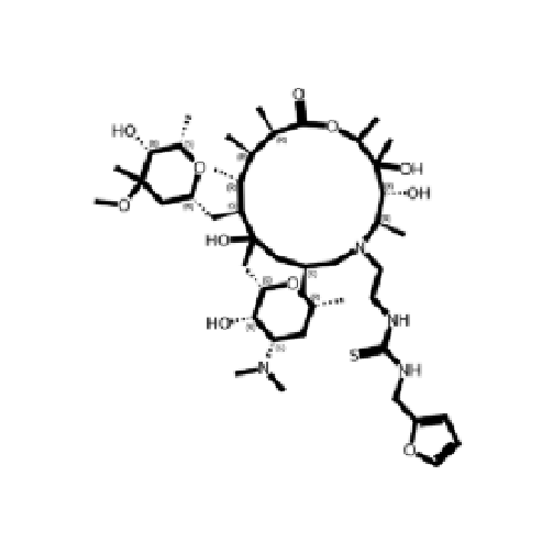 COC1(C)C[C@@H](C[C@H]2[C@H](C)[C@@H](C)[C@@H](C)C(=O)OC(C)C(C)(O)[C@H](O)[C@@H](C)N(CCNC(=S)NCc3ccco3)C[C@@H](C)CC2(O)C[C@@H]2O[C@H](C)C[C@H](N(C)C)[C@@H]2O)O[C@@H](C)[C@H]1O